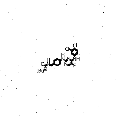 CC(C)(C)OC(=O)NC=C1C=CC(Nc2ncc(F)c(Nc3ccc(Cl)c(Cl)c3)n2)=CC1